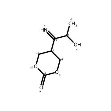 CC(O)C(=N)C1COC(=O)OC1